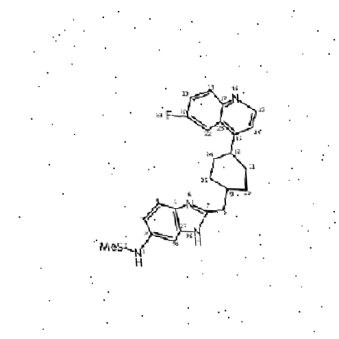 CSNc1ccc2nc(CC3CCC(c4ccnc5ccc(F)cc45)CC3)[nH]c2c1